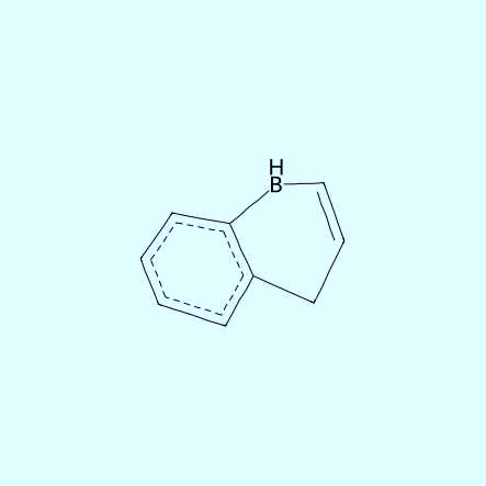 B1C=CCc2ccccc21